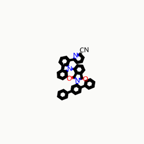 N#Cc1cccc(-c2cccc3c4ccccc4n(-c4cccc5c4C(=O)N(c4cc(-c6ccccc6)ccc4-c4ccccc4)C5=O)c23)n1